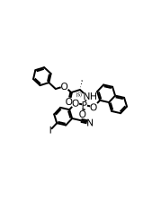 C[C@H](NP(=O)(Oc1ccc(I)cc1C#N)Oc1cccc2ccccc12)C(=O)OCc1ccccc1